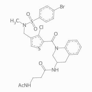 CC(=O)NCCC(=O)NC1Cc2ccccc2N(C(=O)c2scc(CN(C)S(=O)(=O)c3ccc(Br)cc3)c2Cl)C1